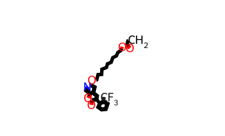 C=CC(=O)OCCCCCCCCCCCOc1cc2cc(-c3ccccc3C(F)(F)F)c(=O)oc2cn1